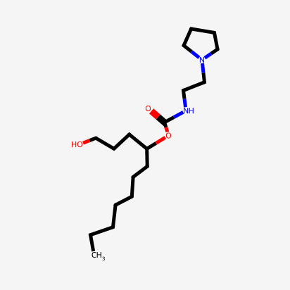 CCCCCCCC(CCCO)OC(=O)NCCN1CCCC1